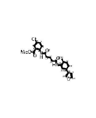 COC(=O)c1cc(Cl)ccc1NC(=O)CCCC(=O)Nc1cc(-c2ccoc2)ccc1C